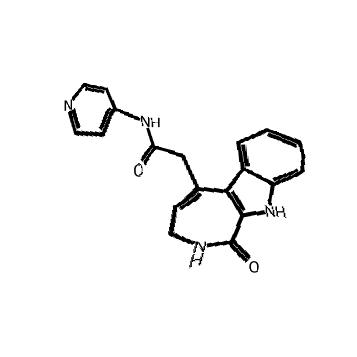 O=C(CC1=CCNC(=O)c2[nH]c3ccccc3c21)Nc1ccncc1